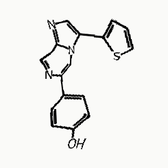 Oc1ccc(-c2cn3c(-c4cccs4)cnc3cn2)cc1